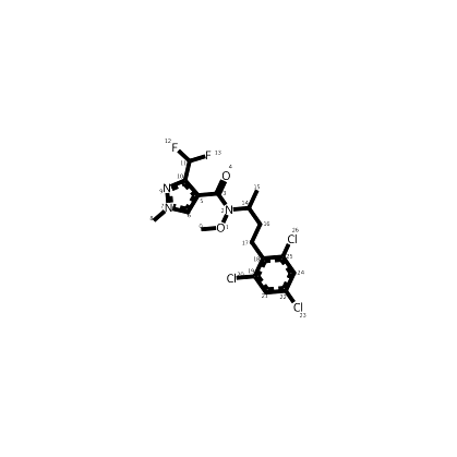 CON(C(=O)c1cn(C)nc1C(F)F)C(C)CCc1c(Cl)cc(Cl)cc1Cl